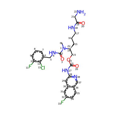 CN(C(=O)NCc1cccc(F)c1Cl)[C@@H](CCCNC(=O)CN)COC(=O)Nc1cc2cc(F)ccc2cn1